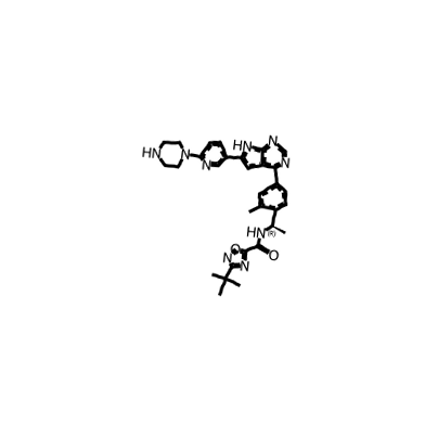 Cc1cc(-c2ncnc3[nH]c(-c4ccc(N5CCNCC5)nc4)cc23)ccc1[C@@H](C)NC(=O)c1nc(C(C)(C)C)no1